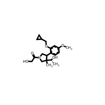 COc1ccc(C2CN(C(=O)CO)CC2(C)[C@@H](C)O)c(OCC2CC2)c1